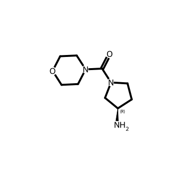 N[C@@H]1CCN(C(=O)N2CCOCC2)C1